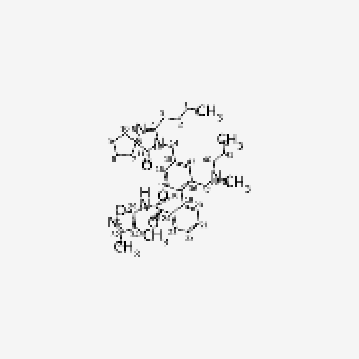 CCCCC1=NC2(CCCC2)C(=O)N1Cc1ccc(-c2ccccc2S(=O)(=O)Nc2onc(C)c2C)c(CN(C)CCC)c1